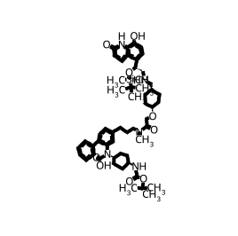 CN(CCCc1ccc(-c2ccccc2)c(N(C(=O)O)[C@H]2CC[C@H](NC(=O)OC(C)(C)C)CC2)c1)C(=O)CO[C@H]1CC[C@H](CNC[C@H](O[Si](C)(C)C(C)(C)C)c2ccc(O)c3[nH]c(=O)ccc23)CC1